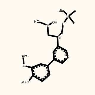 CCCOc1cc(-c2cncc([C@H](CO[Si](C)(C)C(C)(C)C)CB(O)O)c2)ccc1OC